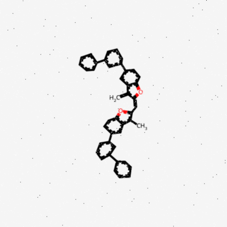 C=c1/c(=C\c2oc3ccc(-c4cccc(-c5ccccc5)c4)cc3c2C)oc2ccc(-c3cccc(-c4ccccc4)c3)cc12